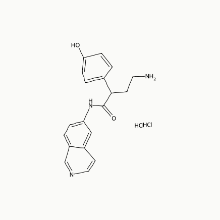 Cl.Cl.NCCC(C(=O)Nc1ccc2cnccc2c1)c1ccc(O)cc1